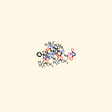 C/C(=C\[C@H](C(C)C)N(C)C(=O)[C@@H](NC(=O)[C@@H](N(C)C(=O)OC(C)(C)C)C(C)(C)c1ccccc1)C(C)(C)C)C(=O)N[C@H](CCC(=O)ON1C(=O)CCC1=O)C(=O)OC(C)(C)C